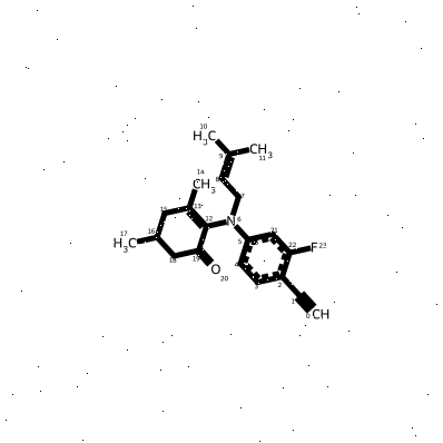 C#Cc1ccc(N(CC=C(C)C)C2=C(C)CC(C)CC2=O)cc1F